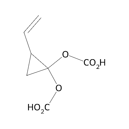 C=CC1CC1(OC(=O)O)OC(=O)O